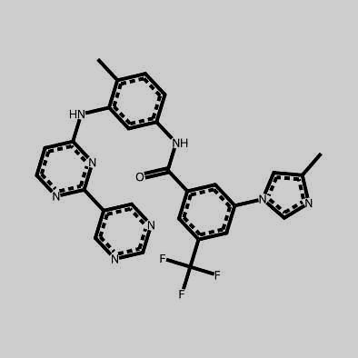 Cc1cn(-c2cc(C(=O)Nc3ccc(C)c(Nc4ccnc(-c5cncnc5)n4)c3)cc(C(F)(F)F)c2)cn1